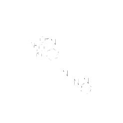 CCC(=O)N1CCCc2c(CCN3CCN(c4ccccn4)CC3)ccc(OS(C)(=O)=O)c21